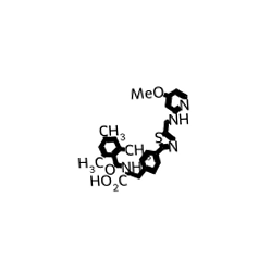 COc1ccnc(NCc2cnc(-c3ccc(CC(NC(=O)c4c(C)cc(C)cc4C)C(=O)O)cc3)s2)c1